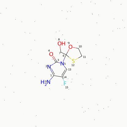 Nc1nc(=O)n(C2(CO)OCCS2)cc1F